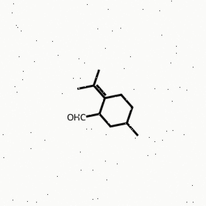 CC(C)=C1CCC(C)CC1C=O